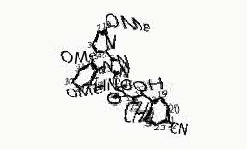 COc1cccc(-c2nnc(NS(=O)(=O)C(C)C(O)c3ccc(C#N)cc3)n2-c2c(OC)cccc2OC)n1